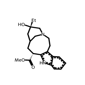 CC[C@]1(O)CC2C[C@@H](C(=O)OC)c3[nH]c4ccccc4c3CCN(C2)C1